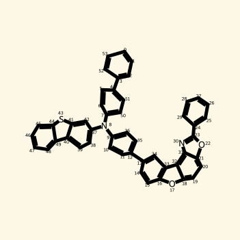 c1ccc(-c2ccc(N(c3ccc(-c4ccc5oc6ccc7oc(-c8ccccc8)nc7c6c5c4)cc3)c3ccc4c(c3)sc3ccccc34)cc2)cc1